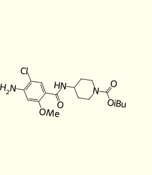 COc1cc(N)c(Cl)cc1C(=O)NC1CCN(C(=O)OCC(C)C)CC1